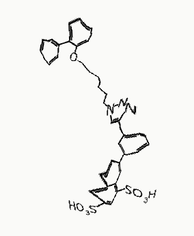 O=S(=O)(O)c1cc(S(=O)(=O)O)c2cc(-c3cccc(-c4cn(CCCCCCOc5ccccc5-c5ccccc5)nn4)c3)ccc2c1